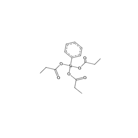 CCC(=O)O[Si](OC(=O)CC)(OC(=O)CC)c1ccccc1